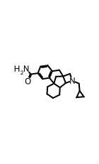 NC(=O)c1ccc2c(c1)C13CCCCC1C1N(CC4CC4)CC1(C2)C3